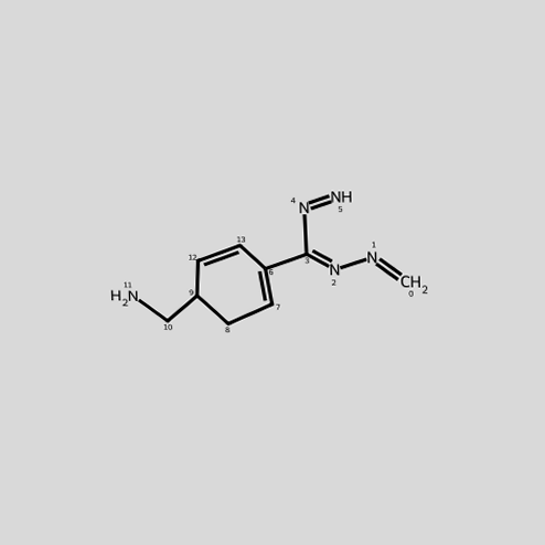 C=N/N=C(\N=N)C1=CCC(CN)C=C1